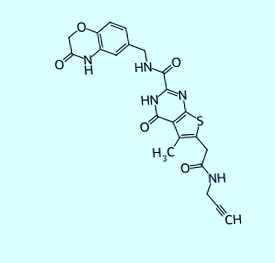 C#CCNC(=O)Cc1sc2nc(C(=O)NCc3ccc4c(c3)NC(=O)CO4)[nH]c(=O)c2c1C